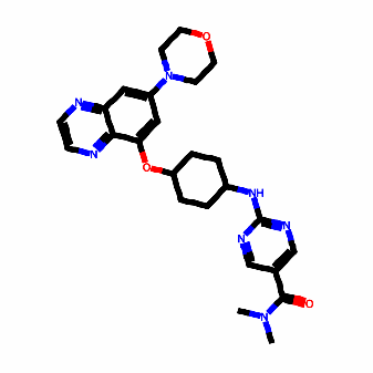 CN(C)C(=O)c1cnc(NC2CCC(Oc3cc(N4CCOCC4)cc4nccnc34)CC2)nc1